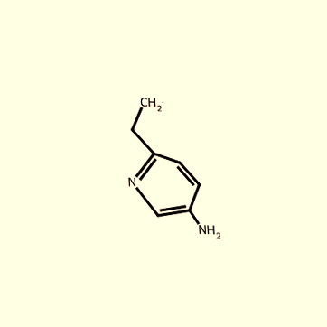 [CH2]Cc1ccc(N)cn1